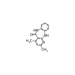 Cc1cc(C)c2c(n1)Nc1ccccc1NC2=O